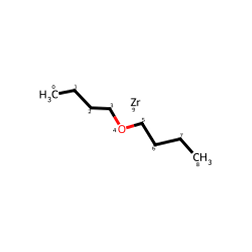 CCCCOCCCC.[Zr]